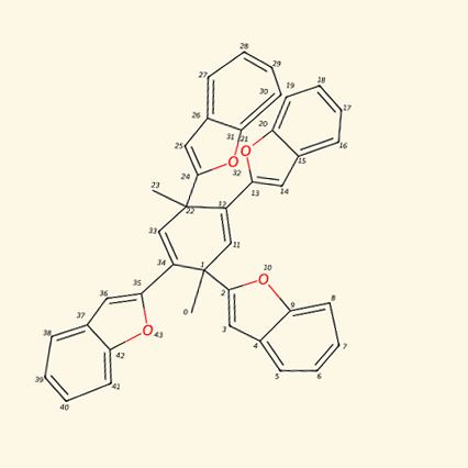 CC1(c2cc3ccccc3o2)C=C(c2cc3ccccc3o2)C(C)(c2cc3ccccc3o2)C=C1c1cc2ccccc2o1